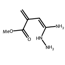 C=C(/C=C(/N)NN)C(=O)OC